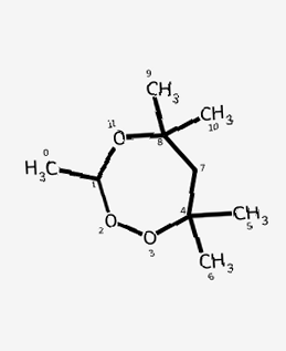 CC1OOC(C)(C)CC(C)(C)O1